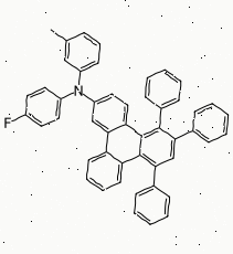 Cc1cccc(N(c2ccc(F)cc2)c2ccc3c(c2)c2ccccc2c2c(-c4ccccc4)cc(-c4ccccc4)c(-c4ccccc4)c32)c1